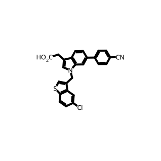 N#Cc1ccc(-c2ccc3c(CC(=O)O)cn(Cc4csc5ccc(Cl)cc45)c3c2)cc1